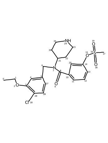 CCOc1cc(CN(C(=O)c2cccc(OS(C)(=O)=O)c2)C2CCNCC2)ccc1Cl